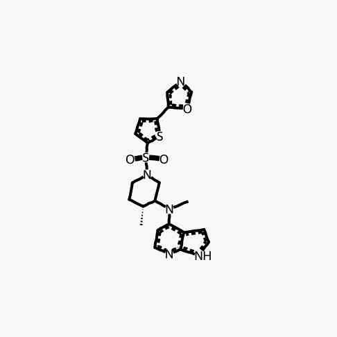 C[C@@H]1CCN(S(=O)(=O)c2ccc(-c3cnco3)s2)CC1N(C)c1ccnc2[nH]ccc12